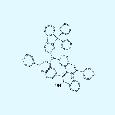 N=C(/C(=C1\NC(c2ccccc2)=Cc2ccc(N(c3cccc(-c4ccccc4)c3)c3ccc4c(c3)C(c3ccccc3)(c3ccccc3)c3ccccc3-4)cc21)c1ccccc1)c1ccccc1